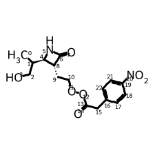 CC(CO)[C@H]1NC(=O)[C@@H]1CCOOC(=O)Cc1ccc([N+](=O)[O-])cc1